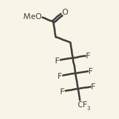 COC(=O)CCC(F)(F)C(F)(F)C(F)(F)C(F)(F)F